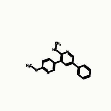 CNc1ncc(-c2ccccc2)cc1-c1ccc(OC)nc1